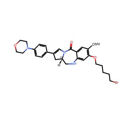 COc1cc2c(cc1OCCCCCBr)NC[C@@H]1CC(c3ccc(N4CCOCC4)cc3)=CN1C2=O